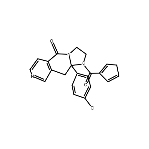 O=C(C1=CCC=C1)N1CCN2C(=O)c3ccncc3CC12c1ccc(Cl)cc1